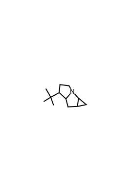 CC(C)(C)C1CCN2C3CC3CC12